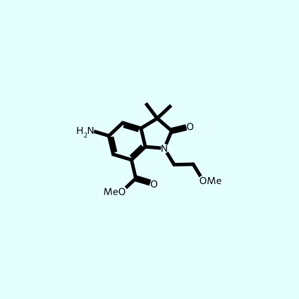 COCCN1C(=O)C(C)(C)c2cc(N)cc(C(=O)OC)c21